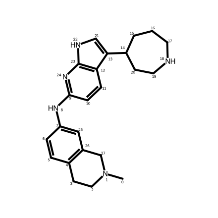 CN1CCc2ccc(Nc3ccc4c(C5CCCNCC5)c[nH]c4n3)cc2C1